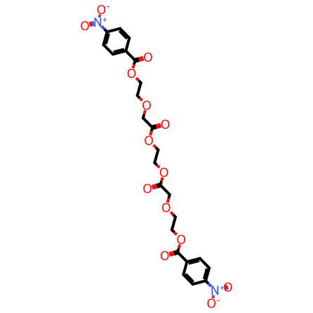 O=C(COCCOC(=O)c1ccc([N+](=O)[O-])cc1)OCCOC(=O)COCCOC(=O)c1ccc([N+](=O)[O-])cc1